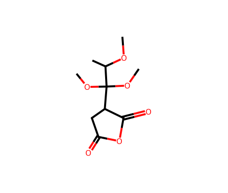 COC(C)C(OC)(OC)C1CC(=O)OC1=O